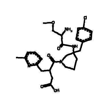 COCC(N)C(=O)NC1(Cc2ccc(Cl)cc2)CCCN(C(=O)C(CC(=O)O)Cc2cccc(C)n2)C1